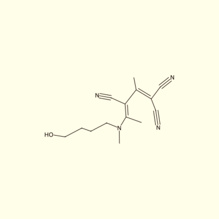 CC(=C(C#N)C#N)/C(C#N)=C(\C)N(C)CCCCO